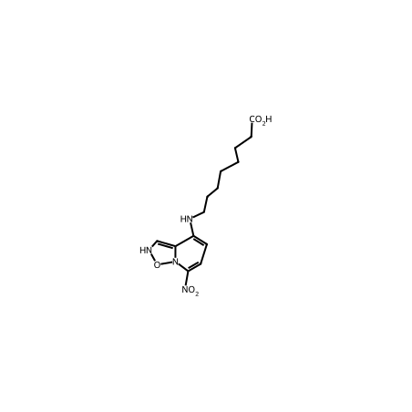 O=C(O)CCCCCCCNC1=CC=C([N+](=O)[O-])N2ONC=C12